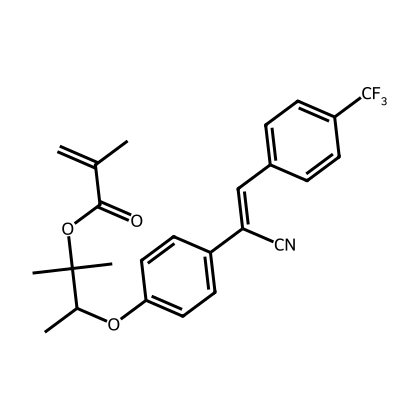 C=C(C)C(=O)OC(C)(C)C(C)Oc1ccc(/C(C#N)=C/c2ccc(C(F)(F)F)cc2)cc1